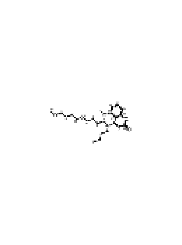 CCCCN(CCCCSCCCCOC)c1cc(=O)oc2cccc(OC)c12